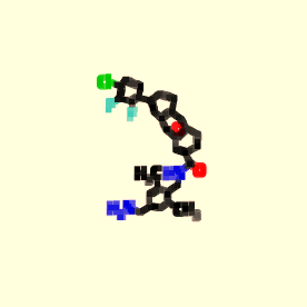 Cc1cc(CN)cc(C)c1CNC(=O)c1ccc2c(c1)C1OC2c2ccc(-c3ccc(Cl)c(F)c3F)cc21